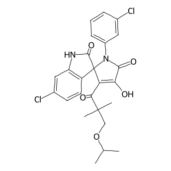 CC(C)OCC(C)(C)C(=O)C1=C(O)C(=O)N(c2cccc(Cl)c2)C12C(=O)Nc1cc(Cl)ccc12